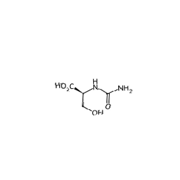 NC(=O)N[C@@H](CO)C(=O)O